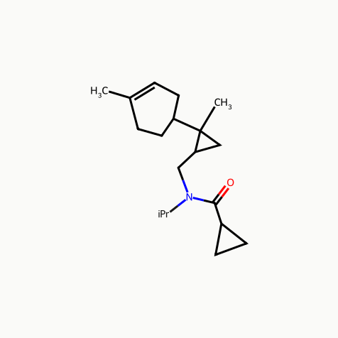 CC1=CCC(C2(C)CC2CN(C(=O)C2CC2)C(C)C)CC1